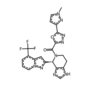 Cn1ccc(-c2nnc(C(=O)N3CCc4[nH]cnc4[C@H]3c3cc4c(C(F)(F)F)cccn4n3)o2)n1